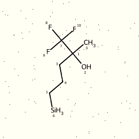 CC(O)(CCC[SiH3])C(F)(F)F